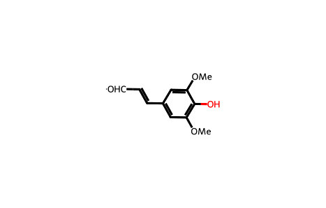 COc1cc(C=C[C]=O)cc(OC)c1O